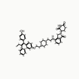 CCC(=C(c1ccc(O)cc1)c1ccc(OCCN2CCN(CCNc3cccc4c3CN(C3CCC(=O)NC3=O)C4=O)CC2)cc1)c1ccccc1